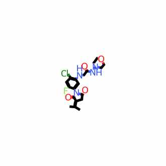 CC(C)=C1CC(=O)N(c2cc(NCC(=O)NN3CCOCC3)c(Cl)cc2F)C1=O